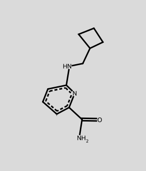 NC(=O)c1[c]ccc(NCC2CCC2)n1